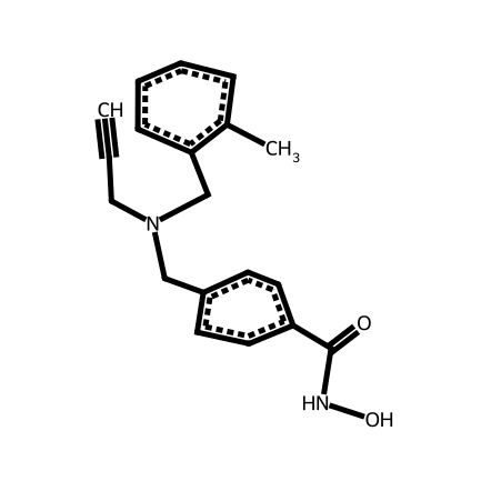 C#CCN(Cc1ccc(C(=O)NO)cc1)Cc1ccccc1C